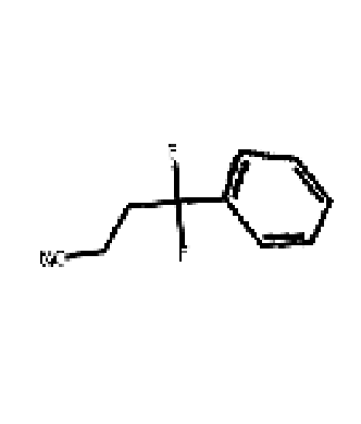 N#CCCC(F)(F)c1ccccc1